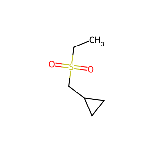 CCS(=O)(=O)CC1CC1